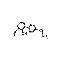 N#Cc1cccc(-c2ccc(C3CC3N)cc2)c1O